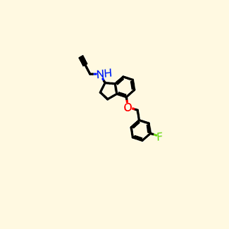 C#CCNC1CCc2c(OCc3cccc(F)c3)cccc21